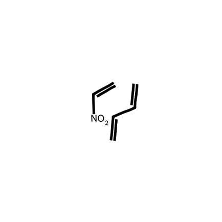 C=CC=C.C=C[N+](=O)[O-]